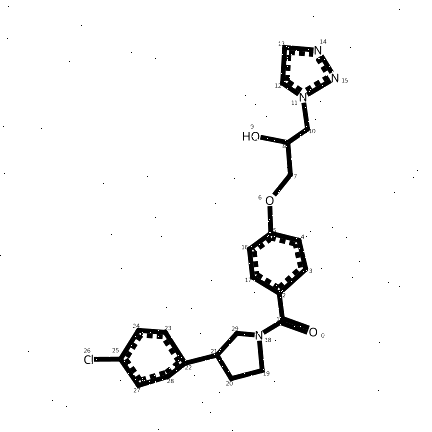 O=C(c1ccc(OCC(O)Cn2ccnn2)cc1)N1CCC(c2ccc(Cl)cc2)C1